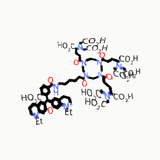 CCN1CCCc2cc3c(cc21)Oc1cc2c(cc1=C3c1cc(C(=O)NCCCCCC(=O)N3CCCN(C(=O)CCC(C(=O)O)N(CC(=O)O)CC(=O)O)CCN(C(=O)CCC(C(=O)O)N(CC(=O)O)CC(=O)O)CCCN(C(=O)CCC(C(=O)O)N(CC(=O)O)CC(=O)O)CC3)ccc1C(=O)O)CCC[N+]=2CC